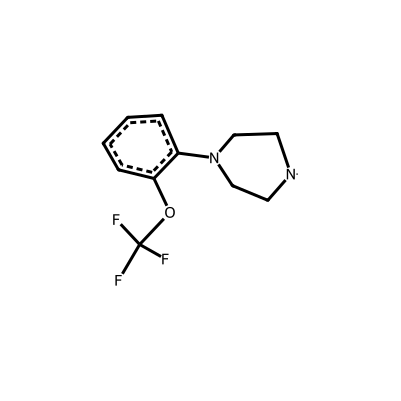 FC(F)(F)Oc1ccccc1N1CC[N]CC1